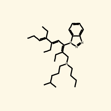 CC/C=C(CC)/C(=C/C(=C(\CC)CN(CCCC)CCCC(C)C)n1nnc2ccccc21)CC